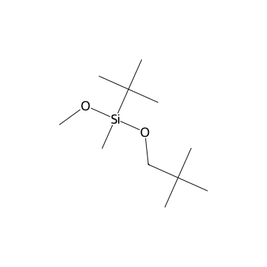 CO[Si](C)(OCC(C)(C)C)C(C)(C)C